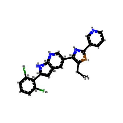 CCc1sc(-c2cccnc2)nc1-c1cnc2[nH]c(-c3c(F)cccc3F)cc2c1